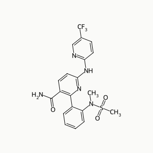 CN(c1ccccc1-c1nc(Nc2ccc(C(F)(F)F)cn2)ccc1C(N)=O)S(C)(=O)=O